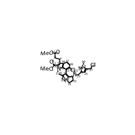 COC(=O)CCc1c(C(=O)OC)n(C)c2c(-c3c(C)nn4c3[C@H](N(C)Cc3cc(CCl)n(C)n3)CC4)c(Cl)ccc12